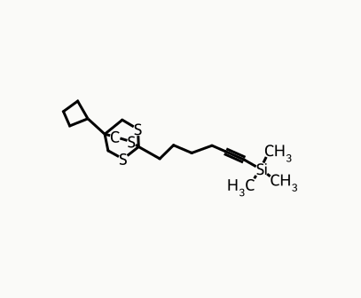 C[Si](C)(C)C#CCCCCC12SCC(C3CCC3)(CS1)CS2